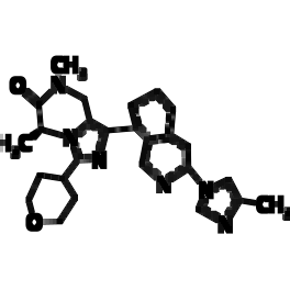 Cc1cn(-c2cc3cccc(-c4nc(C5CCOCC5)n5c4CN(C)C(=O)[C@@H]5C)c3cn2)cn1